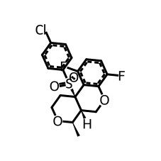 C[C@H]1OCC[C@]2(S(=O)(=O)c3ccc(Cl)cc3)c3c(F)ccc(F)c3OC[C@H]12